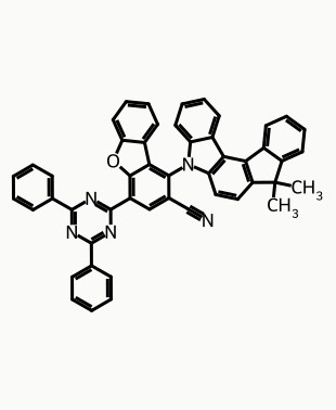 CC1(C)c2ccccc2-c2c1ccc1c2c2ccccc2n1-c1c(C#N)cc(-c2nc(-c3ccccc3)nc(-c3ccccc3)n2)c2oc3ccccc3c12